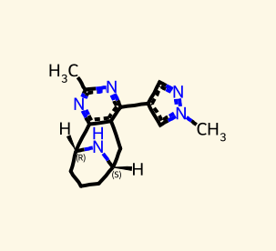 Cc1nc(-c2cnn(C)c2)c2c(n1)[C@H]1CCC[C@@H](C2)N1